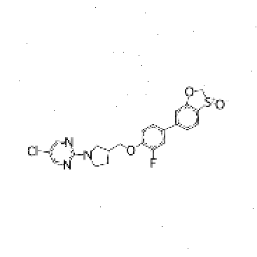 [O-][S+]1COc2cc(-c3ccc(OCC4CCN(c5ncc(Cl)cn5)C4)c(F)c3)ccc21